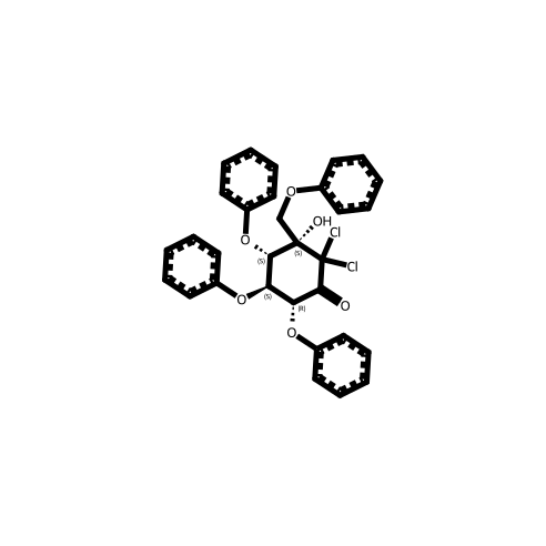 O=C1[C@H](Oc2ccccc2)[C@@H](Oc2ccccc2)[C@H](Oc2ccccc2)[C@@](O)(COc2ccccc2)C1(Cl)Cl